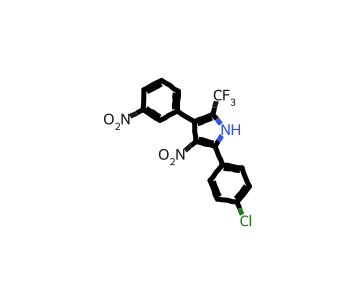 O=[N+]([O-])c1cccc(-c2c(C(F)(F)F)[nH]c(-c3ccc(Cl)cc3)c2[N+](=O)[O-])c1